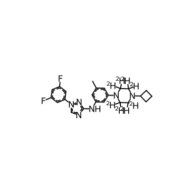 [2H]C1([2H])N(c2cc(C)cc(Nc3ncn(-c4cc(F)cc(F)c4)n3)c2)C([2H])([2H])C([2H])([2H])N(C2CCC2)C1([2H])[2H]